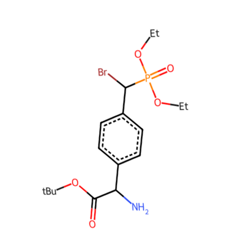 CCOP(=O)(OCC)C(Br)c1ccc(C(N)C(=O)OC(C)(C)C)cc1